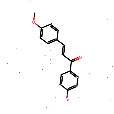 COc1ccc(/C=C/C(=O)c2ccc(Br)cc2)cc1